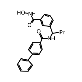 CC(C)C(NC(=O)c1ccc(-c2ccccc2)cc1)c1cccc(C(=O)NO)c1